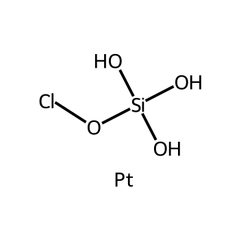 O[Si](O)(O)OCl.[Pt]